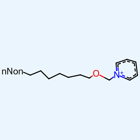 CCCCCCCCCCCCCCCCOC[n+]1ccccc1